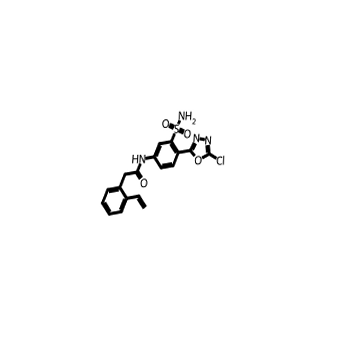 C=Cc1ccccc1CC(=O)Nc1ccc(-c2nnc(Cl)o2)c(S(N)(=O)=O)c1